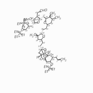 C=CC[C@@H]1O[C@@H]2C3O[C@@H]4C[C@](CCC5CC(=C)[C@H](CCC6CC(C)C(=C)C(C[C@@H]7O[C@H](CC(CO[Si](CC)(CC)CC)O[Si](CC)(CC)CC)[C@H](OC)C7CC=O)O6)O5)(OC3C1O[Si](CC)(CC)CC)OC24